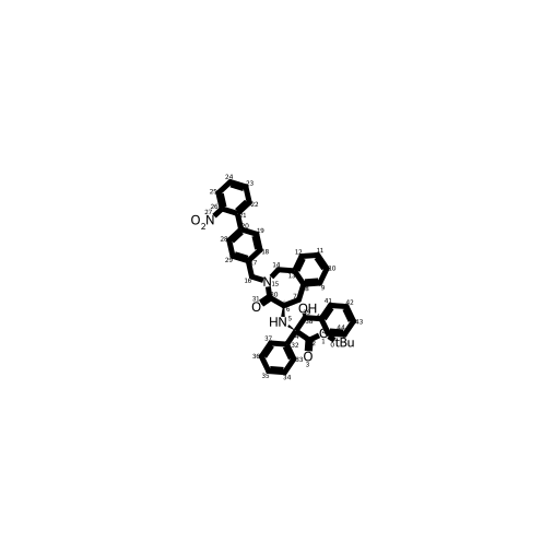 CC(C)(C)OC(=O)[C@@](N[C@@H]1Cc2ccccc2CN(Cc2ccc(-c3ccccc3[N+](=O)[O-])cc2)C1=O)(c1ccccc1)[C@@H](O)c1ccccc1